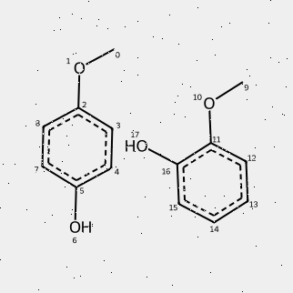 COc1ccc(O)cc1.COc1ccccc1O